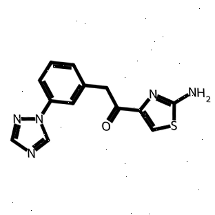 Nc1nc(C(=O)Cc2cccc(-n3cncn3)c2)cs1